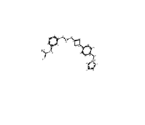 FC(F)Oc1cccc(COCC2CC(c3ccc(Cn4cccc4)cc3)C2)c1